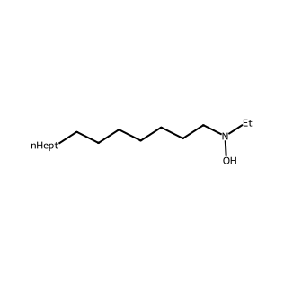 CCCCCCCCCCCCCCN(O)CC